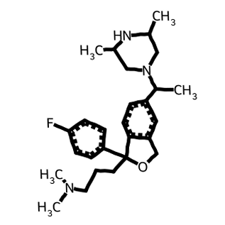 CC1CN(C(C)c2ccc3c(c2)COC3(CCCN(C)C)c2ccc(F)cc2)CC(C)N1